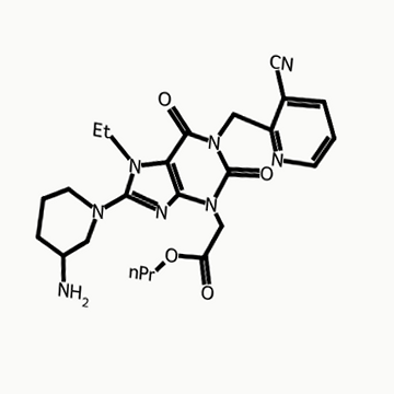 CCCOC(=O)Cn1c(=O)n(Cc2ncccc2C#N)c(=O)c2c1nc(N1CCCC(N)C1)n2CC